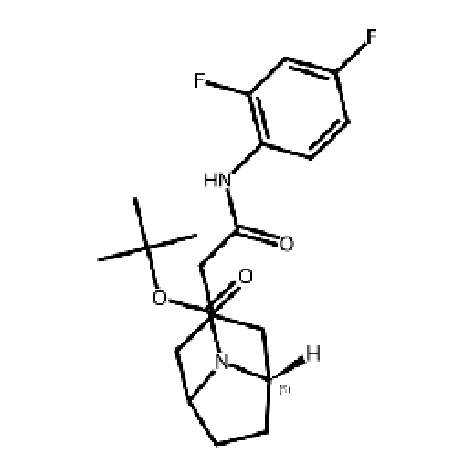 CC(C)(C)OC(=O)N1C2CC[C@H]1CC(CC(=O)Nc1ccc(F)cc1F)C2